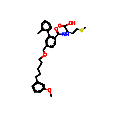 COc1cccc(CCCCCOCc2ccc(C(=O)N[C@@H](CCSC)C(=O)O)c(-c3ccccc3C)c2)c1